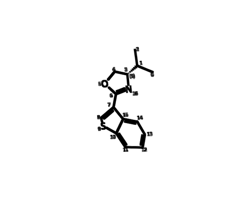 CC(C)[C@H]1COC(c2csc3ccccc23)=N1